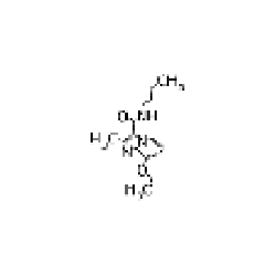 CCCCNC(=O)c1c(C)nc2c(OCC)cccn12